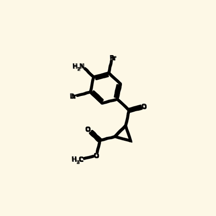 COC(=O)C1CC1C(=O)c1cc(Br)c(N)c(Br)c1